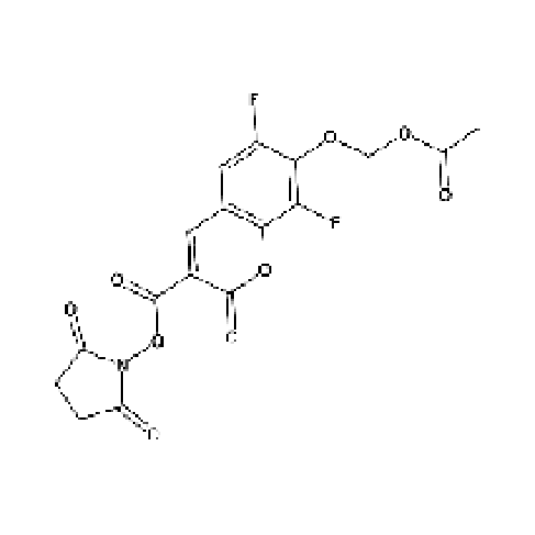 CC(=O)OCOc1c(F)cc2cc(C(=O)ON3C(=O)CCC3=O)c(=O)oc2c1F